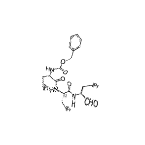 CC(C)CC(C=O)NC(=O)[C@H](CC(C)C)NC(=O)C(CC(C)C)NC(=O)OCc1ccccc1